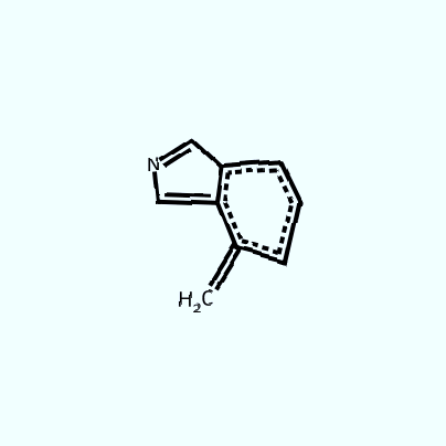 C=c1cccc2c1=CN=C2